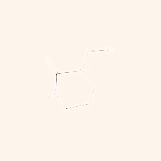 CC(C)CN1CCC[N]C1=O